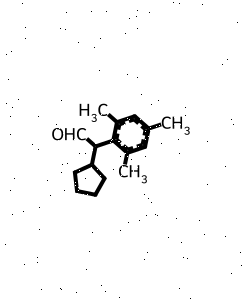 Cc1cc(C)c(C(C=O)C2CCCC2)c(C)c1